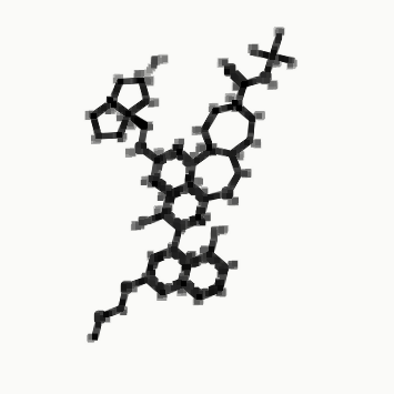 COCOc1cc(-c2nc3c4c(nc(OC[C@@]56CCCN5C[C@H](F)C6)nc4c2F)N2CCN(C(=O)OC(C)(C)C)CCC2CO3)c2c(F)cccc2c1